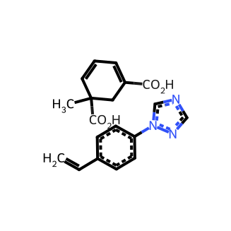 C=Cc1ccc(-n2cncn2)cc1.CC1(C(=O)O)C=CC=C(C(=O)O)C1